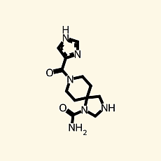 NC(=O)N1CNCC12CCN(C(=O)c1c[nH]cn1)CC2